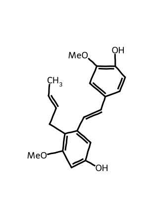 C/C=C/Cc1c(/C=C/c2ccc(O)c(OC)c2)cc(O)cc1OC